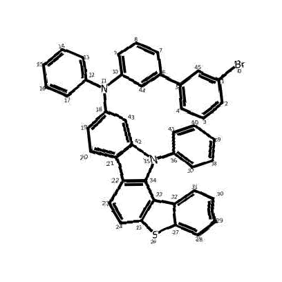 Brc1cccc(-c2cccc(N(c3ccccc3)c3ccc4c5ccc6sc7ccccc7c6c5n(-c5ccccc5)c4c3)c2)c1